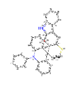 c1ccc(N2c3ccccc3C3(c4ccccc4Sc4cc5c(cc43)[nH]c3ccccc35)c3ccccc32)cc1